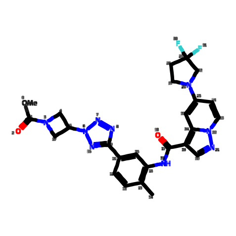 COC(=O)N1CC(n2nnc(-c3ccc(C)c(NC(=O)c4cnn5ccc(N6CCC(F)(F)C6)cc45)c3)n2)C1